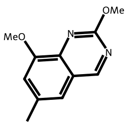 COc1ncc2cc(C)cc(OC)c2n1